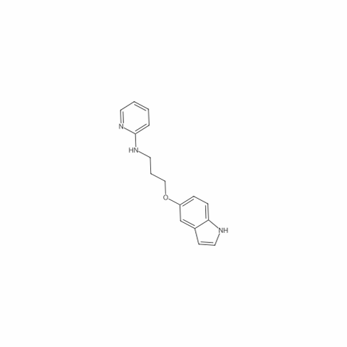 c1ccc(NCCCOc2ccc3[nH]ccc3c2)nc1